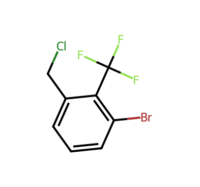 FC(F)(F)c1c(Br)cccc1CCl